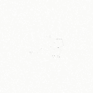 CNCC1(COCCOC)CCCC1.Cl